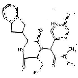 CC(C)CC1C(=O)NC(C2Cc3ccccc3C2)C(=O)N1C(C(=O)N(C)C)c1ccc(=O)[nH]c1